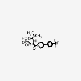 CN(C)C(=O)N[C@@H](CCP(=O)(O)O)C(=O)N1CCC(c2ccc(C(F)(F)F)cc2)CC1